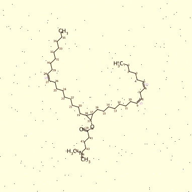 CCCCC/C=C\C/C=C\CCCCCCCC1C(CCCCCCCC/C=C\CCCCCCCC)C1OC(=O)CCCN(C)C